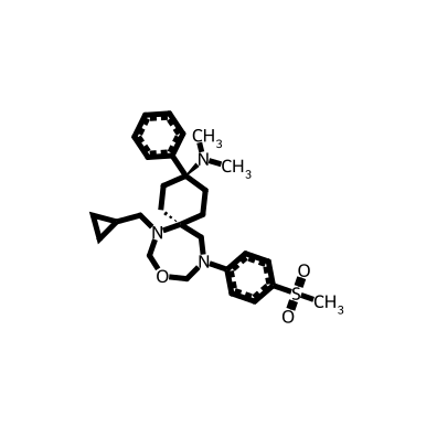 CN(C)[C@]1(c2ccccc2)CC[C@]2(CC1)CN(c1ccc(S(C)(=O)=O)cc1)COCN2CC1CC1